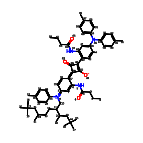 CCCC(=O)NC1=CC(=[N+](\CC(CCC(C)CC(C)(C)C)C(C)CC(C)(C)C)c2ccc(C)cc2)/C=CC/1=C1\C(=O)C(c2ccc(N(c3ccc(C)cc3)c3ccc(C)cc3)cc2NC(=O)CCC)=C1[O-]